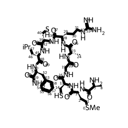 CSCC[C@H](NC(=O)[C@H](C)N)C(=O)N[C@@H](CS)C(=O)NCC(=O)N[C@@H](C)C(=O)N[C@@H](CCCNC(=N)N)C(=O)N[C@@H](CS)C(=O)N[C@@H](CC(C)C)C(=O)N[C@@H](Cc1ccccc1)C(N)=O